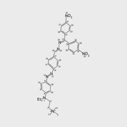 CCN(CC[N+](C)(C)C)c1ccc(N=Nc2ccc(C=NN=C(c3ccc([N+](=O)[O-])cc3)c3ccc([N+](=O)[O-])cc3)cc2)cc1